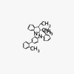 C=CC1c2ccccc2N2c3cc(-c4ccccc4C)ccc3N(c3ccccc3C)C2C1C